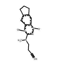 C#CCCN(C)c1n[n+]([O-])c2cc3c(cc2[n+]1[O-])CCC3